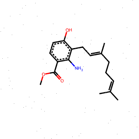 COC(=O)c1ccc(O)c(C/C=C(\C)CCC=C(C)C)c1N